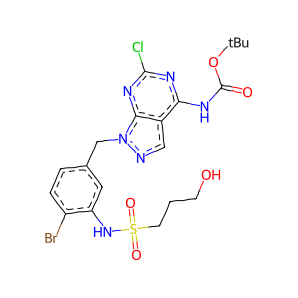 CC(C)(C)OC(=O)Nc1nc(Cl)nc2c1cnn2Cc1ccc(Br)c(NS(=O)(=O)CCCO)c1